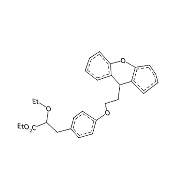 CCOC(=O)C(Cc1ccc(OCCC2c3ccccc3Oc3ccccc32)cc1)OCC